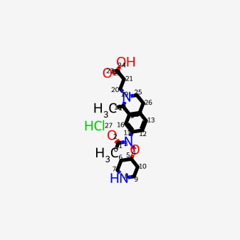 CC(=O)N(OC1CCNCC1)c1ccc2c(c1)C(C)N(CCC(=O)O)CC2.Cl